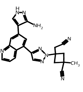 CC1(C#N)CC(CC#N)(n2ncc(-c3cc(-c4c[nH]nc4N)cc4ncccc34)n2)C1